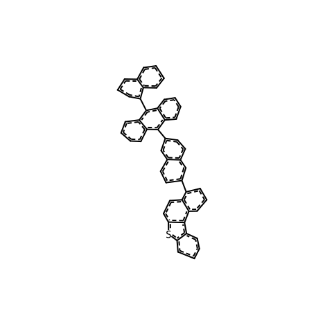 c1ccc2c(-c3c4ccccc4c(-c4ccc5cc(-c6cccc7c6ccc6sc8ccccc8c67)ccc5c4)c4ccccc34)cccc2c1